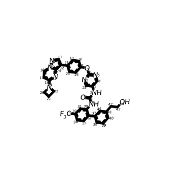 O=C(Nc1cnc(Oc2ccc(-c3cnn4ccc(N5CCC5)nc34)cc2)nc1)Nc1cc(C(F)(F)F)ccc1-c1cccc(CCO)c1